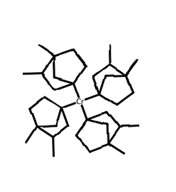 CC1C[C]2([Cr]([C]34CCC(C)(C3)C(C)C4)([C]34CCC(C)(C3)C(C)C4)[C]34CCC(C)(C3)C(C)C4)CCC1(C)C2